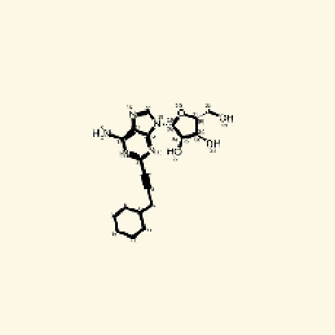 Nc1nc(C#CCC2CCCCC2)nc2c1ncn2[C@@H]1O[C@H](CO)[C@@H](O)[C@H]1O